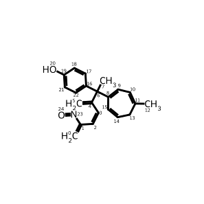 C=C(/C=C\C(=C)C(C)(C1=CC=C(C)CC=C1)c1ccc(O)cc1)N=O